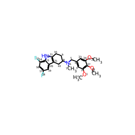 COc1cc(CN(C)C2CCc3[nH]c4c(F)cc(F)cc4c3C2)cc(OC)c1OC